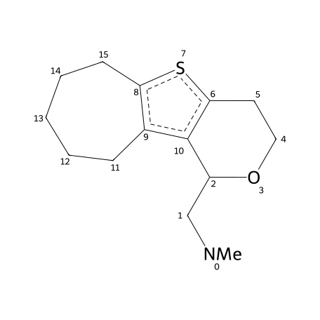 CNCC1OCCc2sc3c(c21)CCCCC3